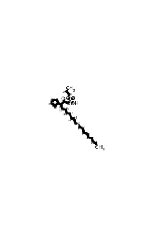 CCCCCCCCCSCCCCCCCC(C([O])CP(=O)(O)OCCC)C1CCCC1